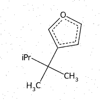 CC(C)C(C)(C)c1ccoc1